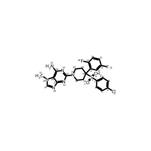 C=S(=O)(c1ccc(Cl)cc1)C1(c2cc(F)ccc2F)CCN(c2nc(N)c3c(ncn3C)n2)CC1